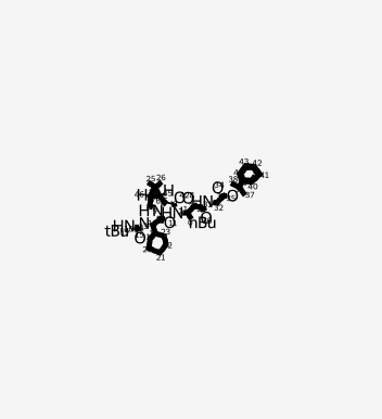 CCCCC(NC(=O)[C@@H]1[C@@H]2[C@H](CN1C(=O)[C@@H](NC(=O)NC(C)(C)C)C1CCCCC1)C2(C)C)C(=O)C(=O)NCC(=O)OC(C)(C)c1ccccc1